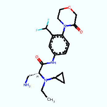 CCN(C1CC1)[C@H](CN)C(=O)Nc1ccc(N2CCOCC2=O)c(C(F)F)c1